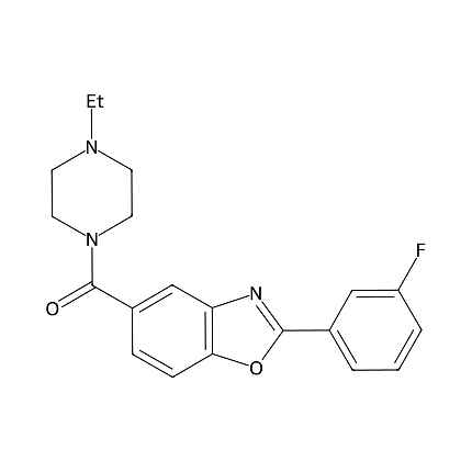 CCN1CCN(C(=O)c2ccc3oc(-c4cccc(F)c4)nc3c2)CC1